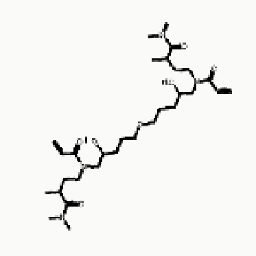 C=CC(=O)N(CCC(C)C(=O)N(C)C)CC(O)CCCOCCCC(O)CN(CCC(C)C(=O)N(C)C)C(=O)C=C